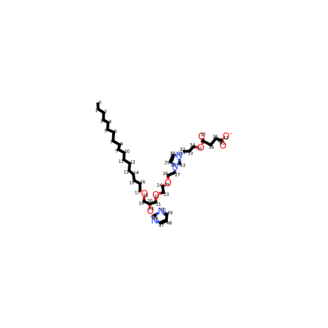 CCCCCCCCCCCCCCCCCCOCC(COCCOCCN1C=C[N+](=CCCOC(=O)CCC(=O)[O-])C1)Oc1ncccn1